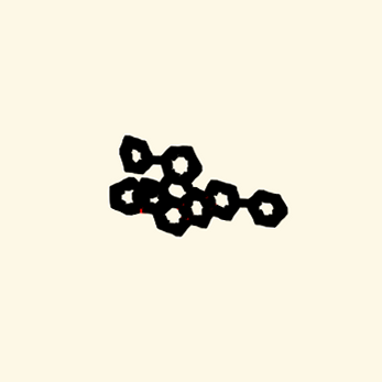 c1ccc(-c2ccc(N(c3cccc(-c4ccccc4)c3-c3ccccc3-c3ccccc3)c3cccc4c3oc3ccccc34)cc2)cc1